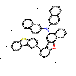 c1ccc2cc(N(c3ccc4ccccc4c3)c3cc4c(oc5cccc(-c6ccc7sc8ccccc8c7c6)c54)c4ccccc34)ccc2c1